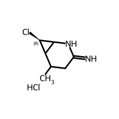 CC1CC(=N)NC2C1[C@H]2Cl.Cl